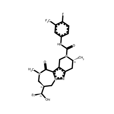 CC[C@H](O)[C@H]1CN(C)C(=O)c2c3c(nn2C1)C[C@@H](C)N(C(=O)Nc1ccc(F)c(C(F)(F)F)c1)C3